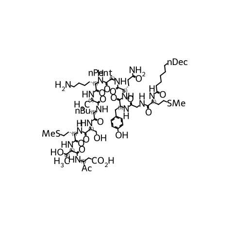 CCCCCCCCCCCCCCCC(=O)N[C@@H](CCSC)C(=O)NCC(=O)N[C@@H](Cc1ccc(O)cc1)C(=O)N[C@@H](CCC(N)=O)C(=O)N[C@@H](CCCCC)C(=O)N[C@@H](CCCCN)C(=O)N[C@@H](C)C(=O)N[C@@H](CCCC)C(=O)N[C@@H](CO)C(=O)N[C@@H](CCSC)C(=O)N[C@H](C(=O)N[C@@H](CC(=O)O)C(C)=O)[C@@H](C)O